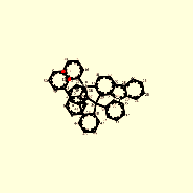 c1ccc(-c2ccccc2N(c2ccccc2)c2ccc3c(oc4ccccc43)c2C2(c3ccccc3)c3ccccc3-c3ccccc32)cc1